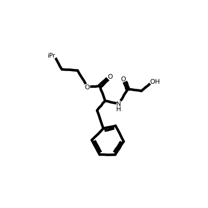 CC(C)CCOC(=O)C(Cc1ccccc1)NC(=O)CO